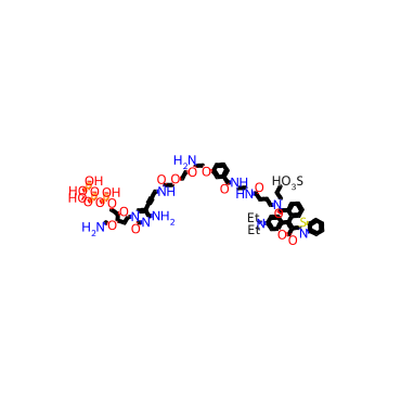 CCN(CC)c1ccc2c(-c3ccccc3C(=O)N(CCCC(=O)NCCNC(=O)c3cccc(OCC(N)OCCOCC(=O)NCC#Cc4cn(C5CC(OCN)C(COP(O)OP(OO)OP(O)O)O5)c(=O)nc4N)c3)CCCS(=O)(=O)O)c(-c3nc4ccccc4s3)c(=O)oc2c1